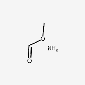 COC=O.N